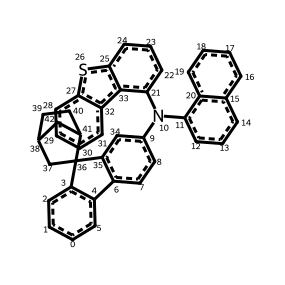 c1ccc2c(c1)-c1ccc(N(c3cccc4ccccc34)c3cccc4sc5ccccc5c34)cc1C21CC2CCC1C2